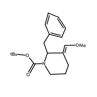 COC=C1CCCN(C(=O)OC(C)(C)C)C1Cc1ccccc1